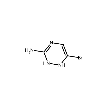 NC1=NC=C(Br)NN1